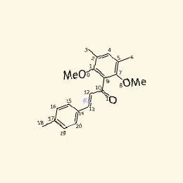 COc1c(C)cc(C)c(OC)c1C(=O)/C=C/c1ccc(C)cc1